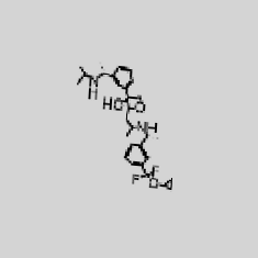 CC(C)N[C@H](C)c1cccc(C2(O)COC2CC(C)N[C@H](C)c2cccc(C(F)(F)OC3CC3)c2)c1